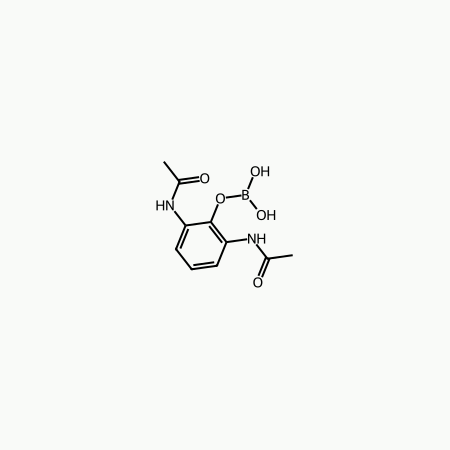 CC(=O)Nc1cccc(NC(C)=O)c1OB(O)O